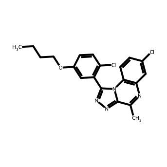 CCCCOc1ccc(Cl)c(-c2nnc3c(C)nc4cc(Cl)ccc4n23)c1